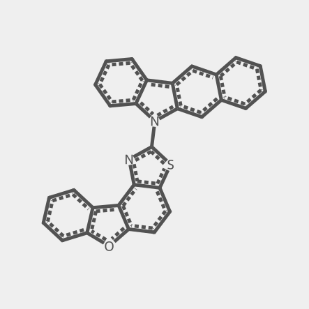 c1ccc2cc3c(cc2c1)c1ccccc1n3-c1nc2c(ccc3oc4ccccc4c32)s1